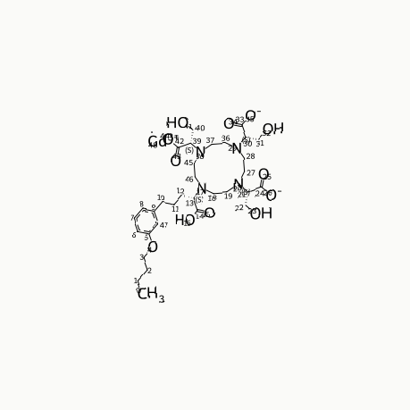 CCCCOc1cccc(CCC[C@@H](C(=O)O)N2CCN([C@@H](CO)C(=O)[O-])CCN([C@@H](CO)C(=O)[O-])CCN([C@@H](CO)C(=O)[O-])CC2)c1.[Gd+3]